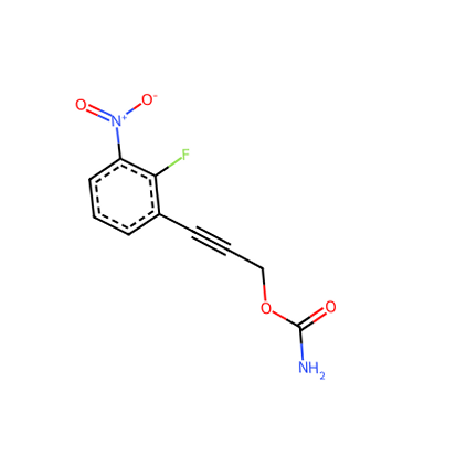 NC(=O)OCC#Cc1cccc([N+](=O)[O-])c1F